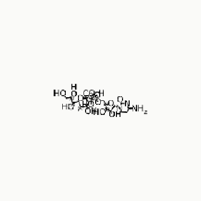 C[C@H]1C([C@H](O)[C@H](O)CO)O[C@](OP(=O)(O)OC[C@H]2O[C@@H](n3ccc(N)nc3=O)C(O)[C@H]2O)(C(=O)O)C[C@H]1O